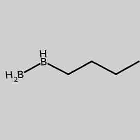 BBCCCC